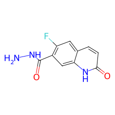 NNC(=O)c1cc2[nH]c(=O)ccc2cc1F